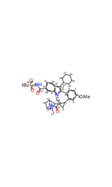 COc1ccc2c(c1)C1CC1(C(=O)N1C3CC1N(C)C3)Cn1c-2c(C2CCCCC2)c2ccc(C(=O)NS(=O)(=O)C(C)(C)C)cc21